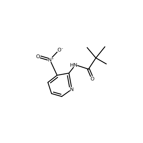 CC(C)(C)C(=O)Nc1ncccc1[N+](=O)[O-]